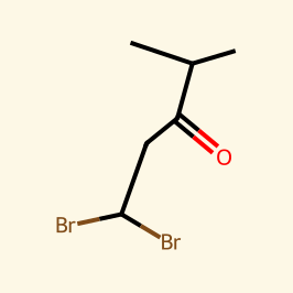 CC(C)C(=O)CC(Br)Br